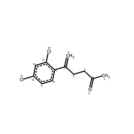 C=C(CCC(C)=O)c1ccc(Cl)cc1Cl